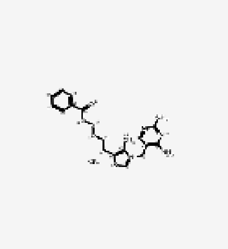 Cc1ncc(C[n+]2csc(CCOSSC(=O)c3ccccc3)c2C)c(N)n1.[Cl-]